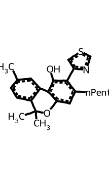 CCCCCc1cc2c(c(O)c1-c1cscn1)-c1cc(C)ccc1C(C)(C)O2